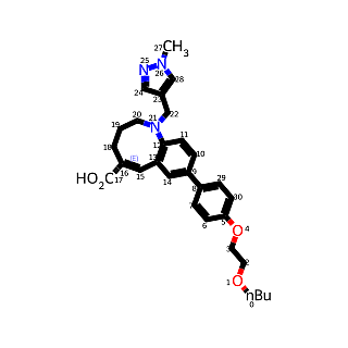 CCCCOCCOc1ccc(-c2ccc3c(c2)/C=C(/C(=O)O)CCCN3Cc2cnn(C)c2)cc1